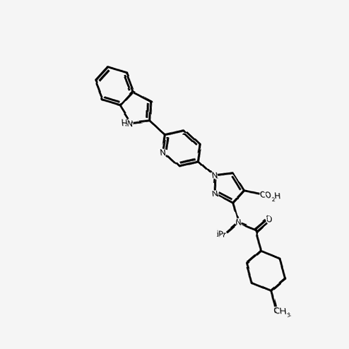 CC1CCC(C(=O)N(c2nn(-c3ccc(-c4cc5ccccc5[nH]4)nc3)cc2C(=O)O)C(C)C)CC1